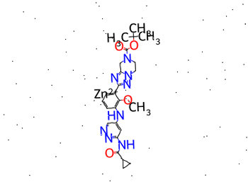 COc1c(Nc2cnnc(NC(=O)C3CC3)c2)cccc1-c1nc2n(n1)CCN(C(=O)OC(C)(C)C)C2.[Zn+2]